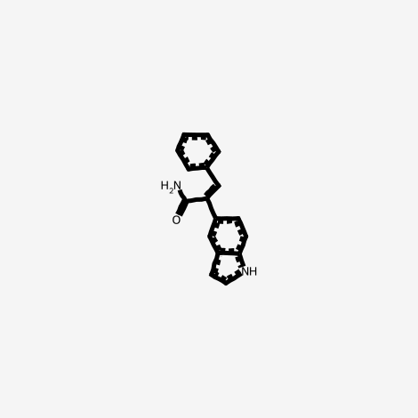 NC(=O)C(=Cc1ccccc1)c1ccc2[nH]ccc2c1